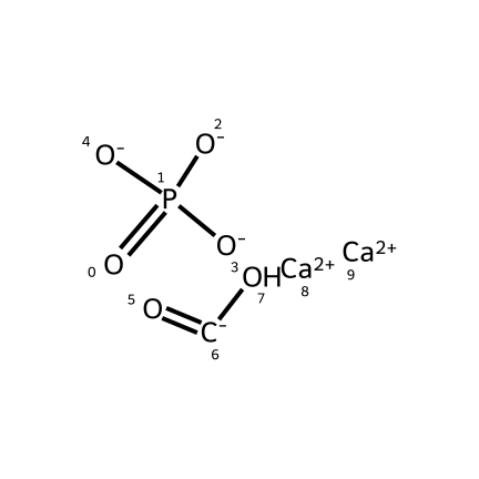 O=P([O-])([O-])[O-].O=[C-]O.[Ca+2].[Ca+2]